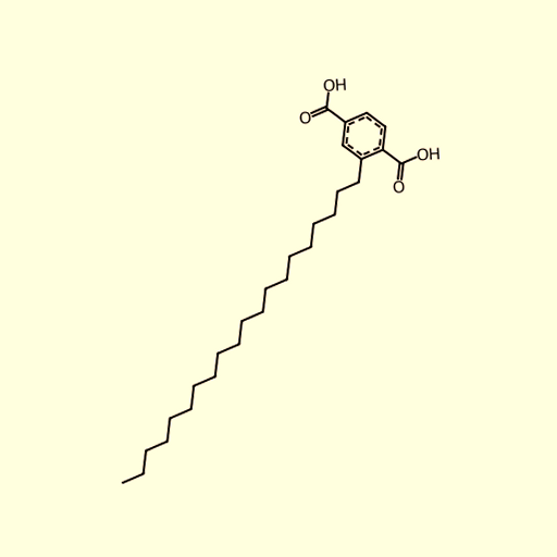 CCCCCCCCCCCCCCCCCCCCc1cc(C(=O)O)ccc1C(=O)O